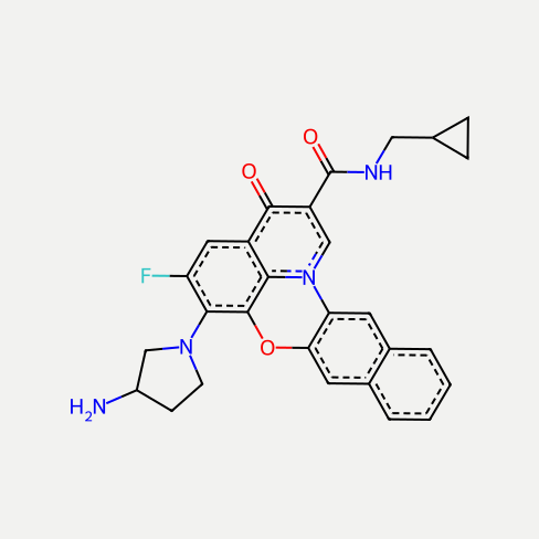 NC1CCN(c2c(F)cc3c(=O)c(C(=O)NCC4CC4)cn4c3c2Oc2cc3ccccc3cc2-4)C1